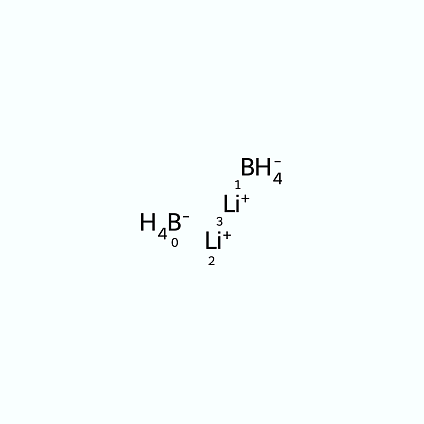 [BH4-].[BH4-].[Li+].[Li+]